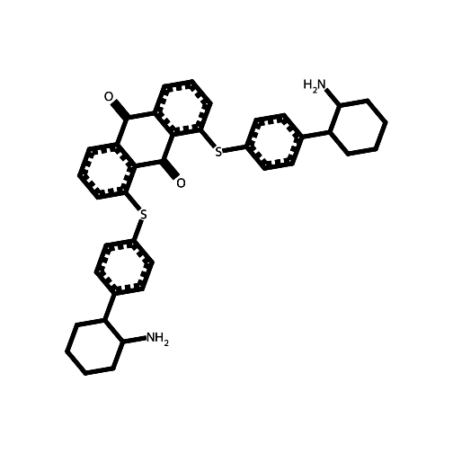 NC1CCCCC1c1ccc(Sc2cccc3c2C(=O)c2c(Sc4ccc(C5CCCCC5N)cc4)cccc2C3=O)cc1